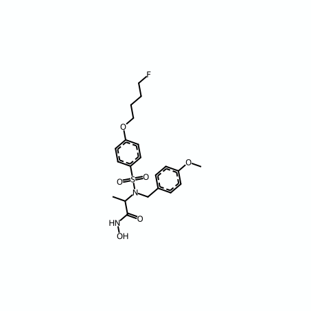 COc1ccc(CN(C(C)C(=O)NO)S(=O)(=O)c2ccc(OCCCCF)cc2)cc1